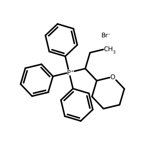 CCC(C1CCCCO1)[P+](c1ccccc1)(c1ccccc1)c1ccccc1.[Br-]